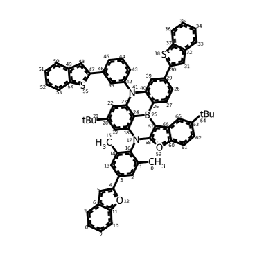 Cc1cc(-c2cc3ccccc3o2)cc(C)c1N1c2cc(C(C)(C)C)cc3c2B(c2ccc(-c4cc5ccccc5s4)cc2N3c2cccc(-c3cc4ccccc4s3)c2)c2c1oc1ccc(C(C)(C)C)cc21